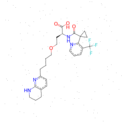 O=C(O)[C@H](CCOCCCCc1ccc2c(n1)NCCC2)NC(=O)C1(c2ncccc2C(F)(F)F)CC1